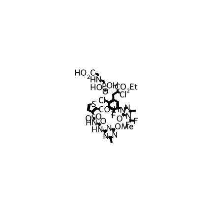 CCOC(=O)C(Cl)Cc1cc(-n2nc(C)n(C(F)F)c2=O)c(F)cc1Cl.COc1nc(C)nc(NC(=O)NS(=O)(=O)c2ccsc2C(=O)O)n1.O=C(O)CNCP(=O)(O)O